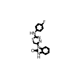 O=c1[nH]c2ccccc2n1C1=NN=C(Nc2ccc(F)cc2)SC1